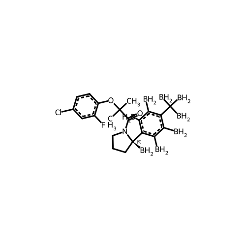 Bc1c(B)c([C@]2(B)CCCN2C(=O)C(C)(C)Oc2ccc(Cl)cc2F)c(B)c(B)c1C(B)(B)B